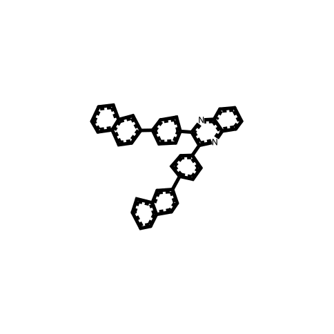 c1ccc2cc(-c3ccc(-c4nc5ccccc5nc4-c4ccc(-c5ccc6ccccc6c5)cc4)cc3)ccc2c1